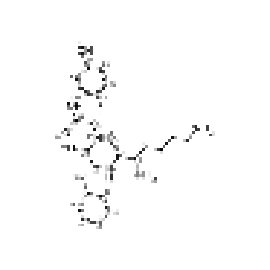 NCCCC[C@H](N)C(=O)N[C@H](Cc1ccccc1)C(=O)N[C@@H](Cc1ccc(O)cc1)C(=O)O